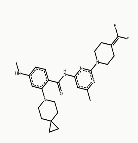 CNc1ccc(C(=O)Nc2cc(C)nc(N3CCC(=C(F)F)CC3)n2)c(N2CCC3(CC2)CC3)c1